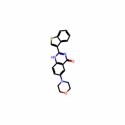 O=c1nc(-c2csc3ccccc23)[nH]c2ccc(N3CCOCC3)cc12